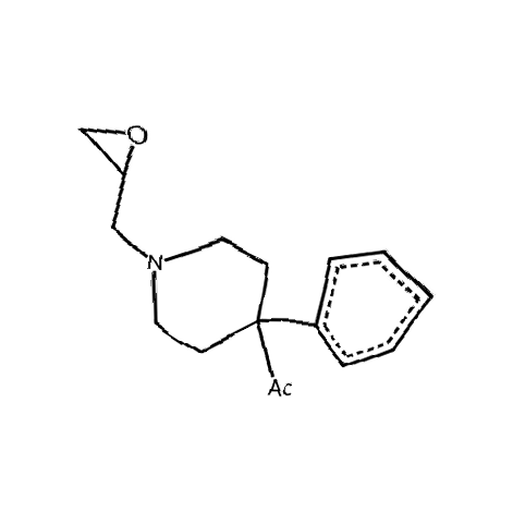 CC(=O)C1(c2ccccc2)CCN(CC2CO2)CC1